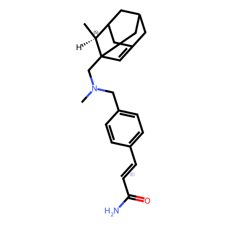 C[C@H]1C2CC3=CC1(CN(C)Cc1ccc(/C=C/C(N)=O)cc1)CC(C3)C2